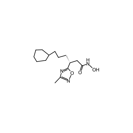 Cc1noc([C@H](CCCC2CCCCC2)CC(=O)NO)n1